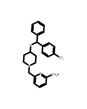 O=C(O)c1cccc(CN2CCC(OC(c3ccccc3)c3ccc(C(F)(F)F)cc3)CC2)n1